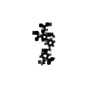 Cc1ccc(NCc2cccc(-c3sc(C(=O)O)c(OCC(=O)O)c3C)c2)cc1[N+](=O)[O-]